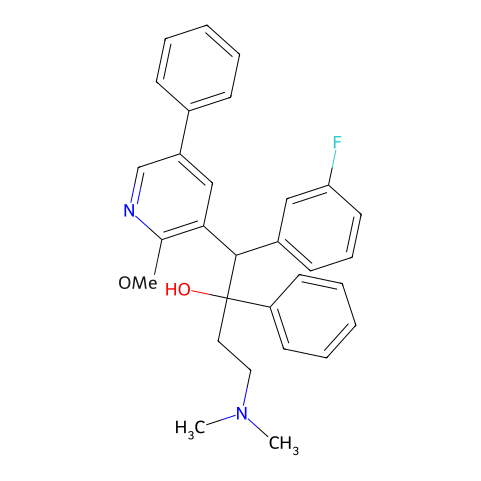 COc1ncc(-c2ccccc2)cc1C(c1cccc(F)c1)C(O)(CCN(C)C)c1ccccc1